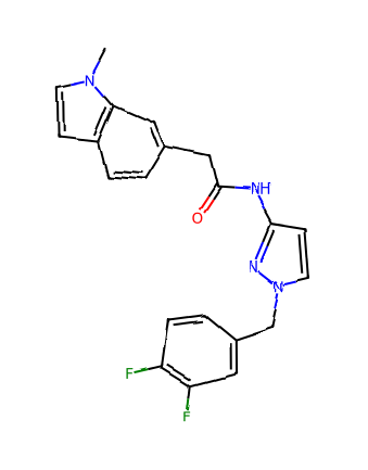 Cn1ccc2ccc(CC(=O)Nc3ccn(Cc4ccc(F)c(F)c4)n3)cc21